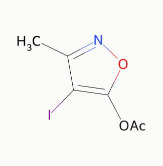 CC(=O)Oc1onc(C)c1I